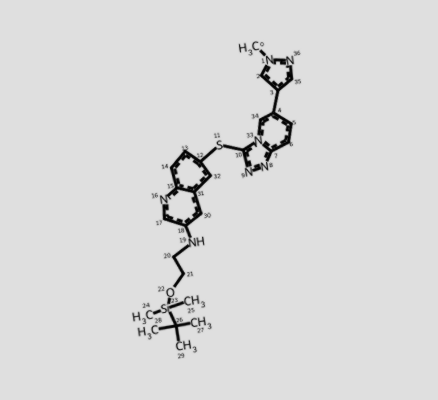 Cn1cc(-c2ccc3nnc(Sc4ccc5ncc(NCCO[Si](C)(C)C(C)(C)C)cc5c4)n3c2)cn1